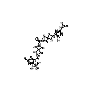 Cc1nc(C(F)(F)F)c(CN2CC3(C2)CN(C(=O)N2CC4(CC(c5nc(C6CC6)n[nH]5)C4)C2)C3)s1